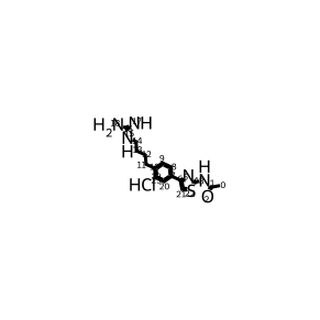 CC(=O)Nc1nc(-c2ccc(CCCCNC(=N)N)cc2)cs1.Cl